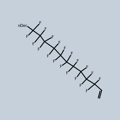 C=CC(F)(F)C(F)(F)C(F)(F)C(F)(F)C(F)(F)C(F)(F)C(F)(F)C(F)(F)C(F)(F)C(F)(F)CCCCCCCCCC